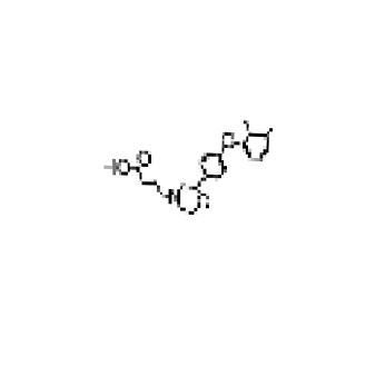 Cc1cccc(Oc2ccc(C3CN(CCCC(=O)O)CCO3)cc2)c1C